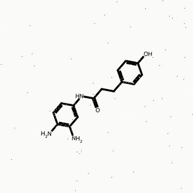 Nc1ccc(NC(=O)CCc2ccc(O)cc2)cc1N